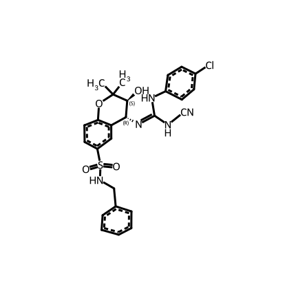 CC1(C)Oc2ccc(S(=O)(=O)NCc3ccccc3)cc2[C@@H](N=C(NC#N)Nc2ccc(Cl)cc2)[C@@H]1O